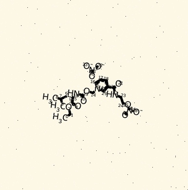 CCOC(=O)[C@H](CC(C)C)NC(=O)OC[n+]1cccc(C(=O)NCCO[N+](=O)[O-])c1.O=[N+]([O-])[O-]